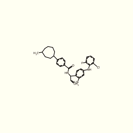 C=CC(NC(=O)c1ccc(C2CCCCC(C)CC2)cc1)c1ccc(Nc2c(F)cccc2Cl)cc1N